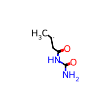 C[CH]CC(=O)NC(N)=O